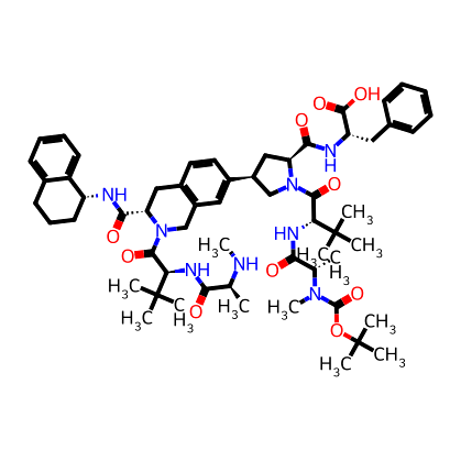 CN[C@@H](C)C(=O)N[C@H](C(=O)N1Cc2cc([C@H]3C[C@@H](C(=O)N[C@@H](Cc4ccccc4)C(=O)O)N(C(=O)[C@@H](NC(=O)[C@H](C)N(C)C(=O)OC(C)(C)C)C(C)(C)C)C3)ccc2C[C@H]1C(=O)N[C@@H]1CCCc2ccccc21)C(C)(C)C